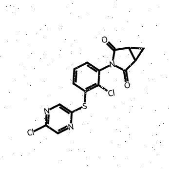 O=C1C2CC2C(=O)N1c1cccc(Sc2cnc(Cl)cn2)c1Cl